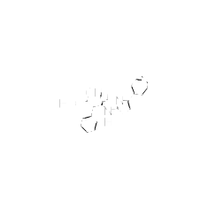 CC(C)C(C(=O)Nc1nc(-c2ccncc2)cs1)c1ccccc1